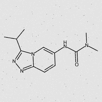 CC(C)c1nnc2ccc(NC(=O)N(C)C)cn12